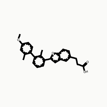 COc1ccc(-c2cccc(-c3cc4cc(CCC(=O)O)ccc4o3)c2C)c(C)c1